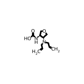 C=CCN(CC=C)[C@H]1COC[C@@H]1NC(=O)O